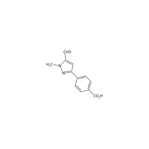 Cn1nc(-c2ccc(C(=O)O)cc2)cc1C=O